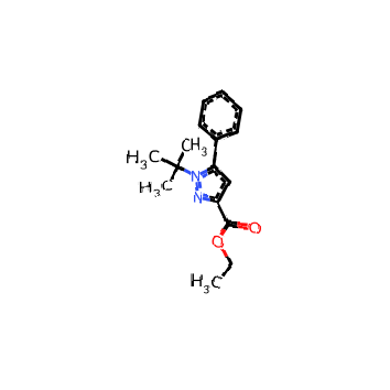 CCOC(=O)c1cc(-c2ccccc2)n(C(C)(C)C)n1